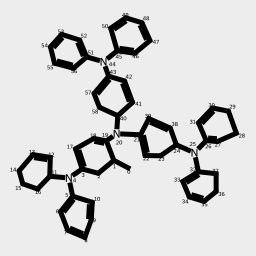 CC1CC(N(c2ccccc2)C2C=CCCC2)=CC=C1N(C1=CCC(N(C2=CCCC=C2)C2=CC=CCC2)C=C1)C1C=CC(N(c2ccccc2)c2ccccc2)=CC1